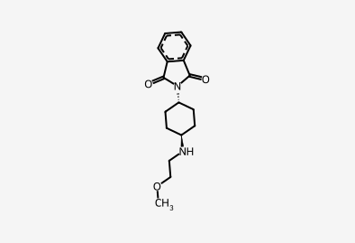 COCCN[C@H]1CC[C@H](N2C(=O)c3ccccc3C2=O)CC1